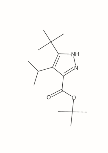 CC(C)c1c(C(=O)OC(C)(C)C)n[nH]c1C(C)(C)C